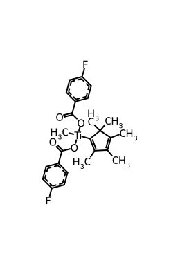 CC1=C(C)C(C)(C)[C]([Ti]([CH3])([O]C(=O)c2ccc(F)cc2)[O]C(=O)c2ccc(F)cc2)=C1C